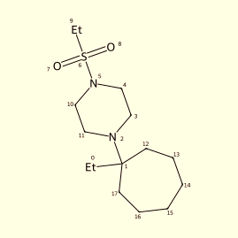 CCC1(N2CCN(S(=O)(=O)CC)CC2)CCCCCC1